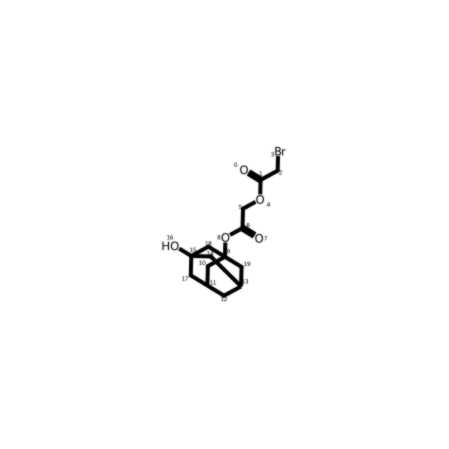 O=C(CBr)OCC(=O)OC12CC3CC(CC(O)(C3)C1)C2